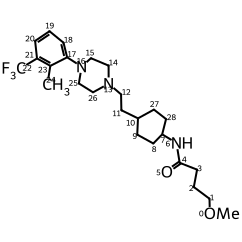 COCCCC(=O)NC1CCC(CCN2CCN(c3cccc(C(F)(F)F)c3C)CC2)CC1